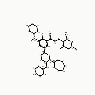 Cc1c(C(=O)NCC2C(C)CC(C)NC2O)cc(C2CCC(CN3CCOCC3)N(C3CCCCCC3)C2)cc1N(C)C1CCCCC1